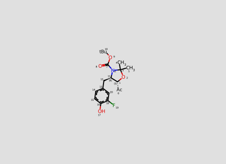 CC(=O)[C@H]1OC(C)(C)N(C(=O)OC(C)(C)C)[C@@H]1Cc1ccc(O)c(F)c1